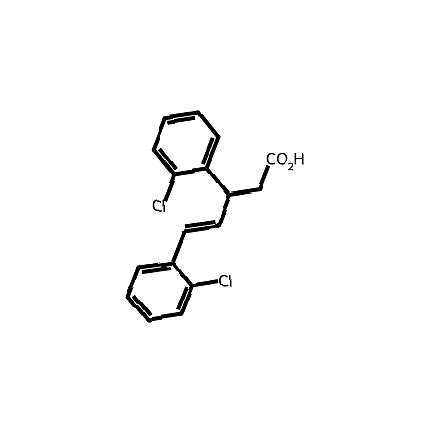 O=C(O)CC(C=Cc1ccccc1Cl)c1ccccc1Cl